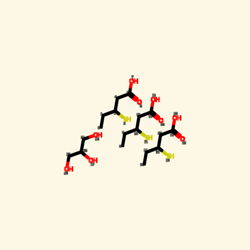 CCC(S)CC(=O)O.CCC(S)CC(=O)O.CCC(S)CC(=O)O.OCC(O)CO